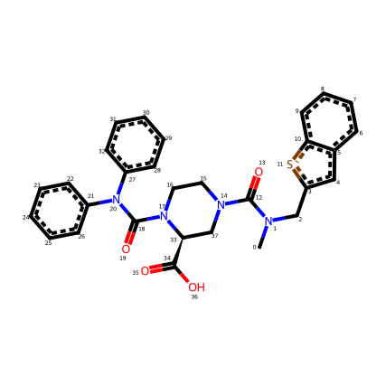 CN(Cc1cc2ccccc2s1)C(=O)N1CCN(C(=O)N(c2ccccc2)c2ccccc2)[C@H](C(=O)O)C1